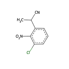 CC(C#N)c1cccc(Cl)c1[N+](=O)[O-]